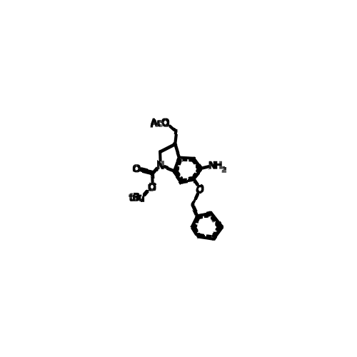 CC(=O)OCC1CN(C(=O)OC(C)(C)C)c2cc(OCc3ccccc3)c(N)cc21